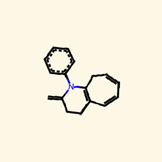 C=C1CCC2=C(CC=CC=C2)N1c1ccccc1